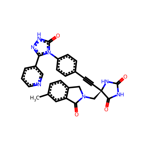 Cc1ccc2c(c1)C(=O)N(C[C@@]1(C#Cc3ccc(-n4c(-c5cccnc5)n[nH]c4=O)cc3)NC(=O)NC1=O)C2